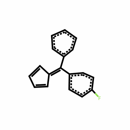 Fc1ccc(C(=C2C=CC=C2)c2ccccc2)cc1